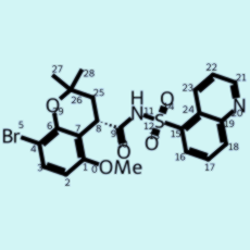 COc1ccc(Br)c2c1[C@@H](C(=O)NS(=O)(=O)c1cccc3ncccc13)CC(C)(C)O2